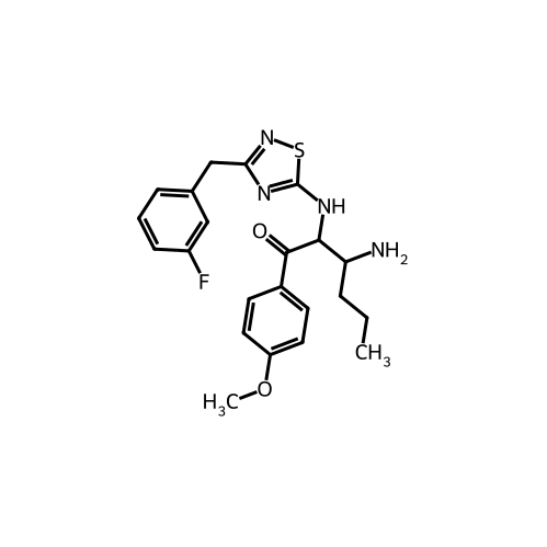 CCCC(N)C(Nc1nc(Cc2cccc(F)c2)ns1)C(=O)c1ccc(OC)cc1